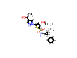 CC(O)c1cnn(-c2ccc(S(=O)(=O)N[C@H]3[C@H](C)[C@@H]3c3ccccc3)s2)c1.O=C(O)O